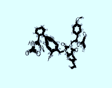 CCc1cc2c(=O)n(CC(OC(C)=O)c3ccc(OC)cc3)c(=O)n(Cc3ccc(-c4ccccc4-c4noc(=O)[nH]4)cc3F)c2s1